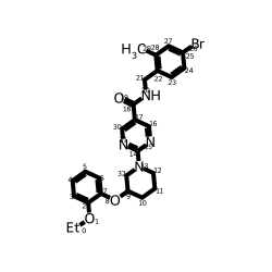 CCOc1ccccc1OC1CCCN(c2ncc(C(=O)NCc3ccc(Br)cc3C)cn2)C1